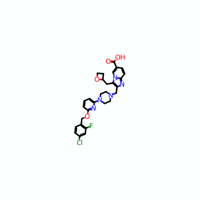 O=C(O)c1ccc2nc(CN3CCN(c4cccc(OCc5ccc(Cl)cc5F)n4)CC3)c(CC3CCO3)n2c1